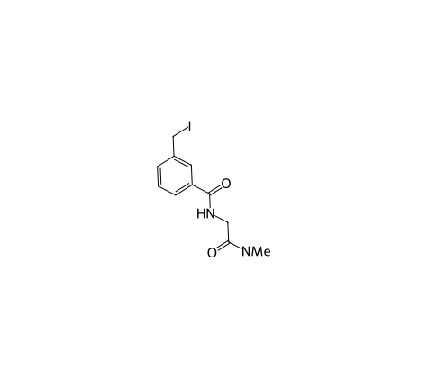 CNC(=O)CNC(=O)c1cccc(CI)c1